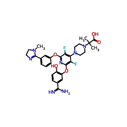 CN1CCN=C1c1cccc(Oc2nc(Oc3cc(C(=N)N)ccc3O)c(F)c(N3CCN(C(C)(C)C(=O)O)CC3)c2F)c1